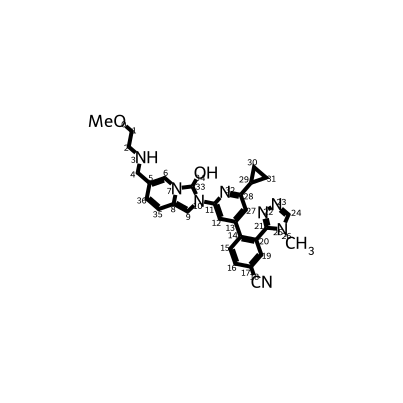 COCCNCC1=CN2C(=CN(c3cc(-c4ccc(C#N)cc4-c4nncn4C)cc(C4CC4)n3)C2O)C=C1